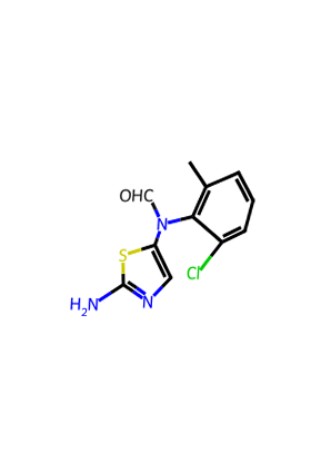 Cc1cccc(Cl)c1N(C=O)c1cnc(N)s1